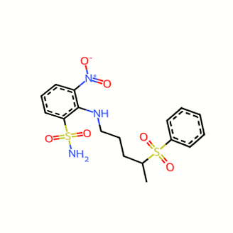 CC(CCCNc1c([N+](=O)[O-])cccc1S(N)(=O)=O)S(=O)(=O)c1ccccc1